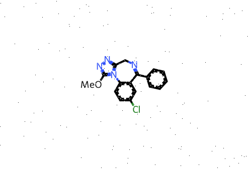 COc1nnc2n1-c1ccc(Cl)cc1C(c1ccccc1)=NC2